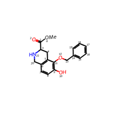 COC(=O)C1Cc2c(ccc(O)c2OCc2ccccc2)CN1